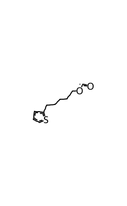 O=[C]OCCCCCc1cccs1